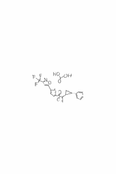 O=C(O)O.O=S(=O)(N[C@H]1C[C@@H]1c1ccccc1)c1ccc(-c2cc(C(F)(F)F)no2)s1